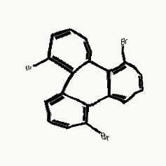 Brc1cccc2c1c1cccc(Br)c1c1cccc(Br)c21